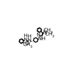 Cc1ccccc1NC(=O)NC[C@H]1CC[C@@H](Nc2cc(N(C)C)c3ccccc3n2)CC1